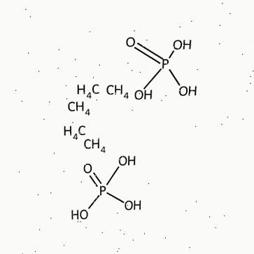 C.C.C.C.C.O=P(O)(O)O.O=P(O)(O)O